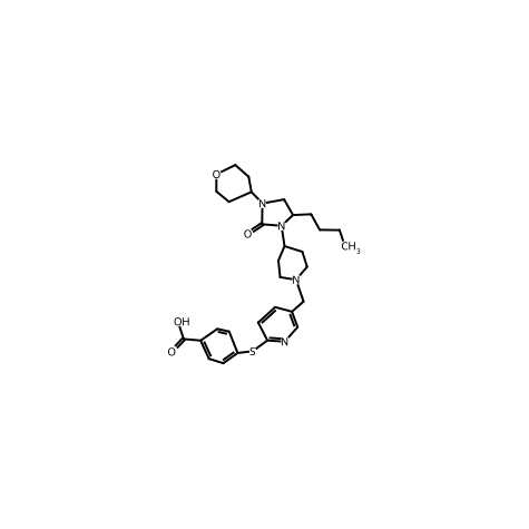 CCCCC1CN(C2CCOCC2)C(=O)N1C1CCN(Cc2ccc(Sc3ccc(C(=O)O)cc3)nc2)CC1